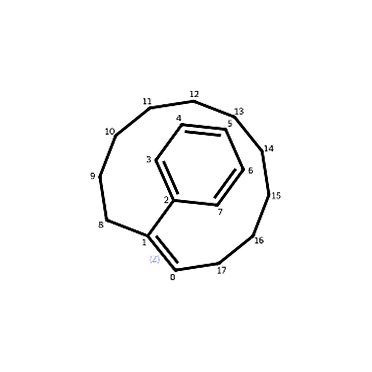 C1=C(\c2ccccc2)CCCCCCCCCC/1